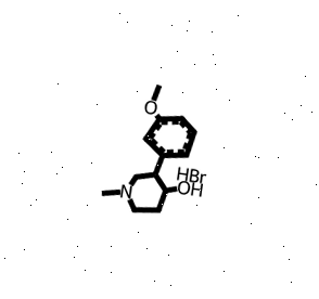 Br.COc1cccc(C2CN(C)CCC2O)c1